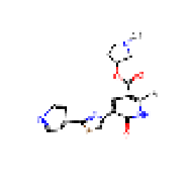 CCN1CCC(OC(=O)c2cc(-c3csc(-c4ccncc4)n3)c(=O)[nH]c2C(C)C)C1